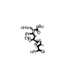 CCCCCCN(C(=O)CCCC)C(CC(OCC)c1nc(C(=O)CCC)cs1)C(C)C